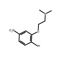 CC(C)c1ccc([N+](=O)[O-])cc1OCCN(C)C